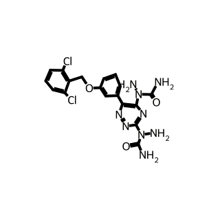 NC(=O)N(N)c1nnc(-c2cccc(OCc3c(Cl)cccc3Cl)c2)c(N(N)C(N)=O)n1